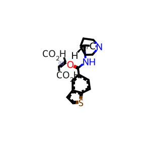 O=C(N[C@H]1CN2CCC1CC2)c1ccc2sccc2c1.O=C(O)/C=C/C(=O)O